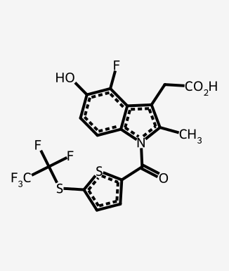 Cc1c(CC(=O)O)c2c(F)c(O)ccc2n1C(=O)c1ccc(SC(F)(F)C(F)(F)F)s1